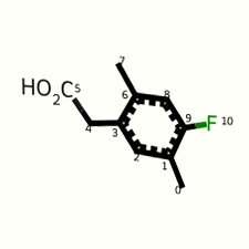 Cc1cc(CC(=O)O)c(C)cc1F